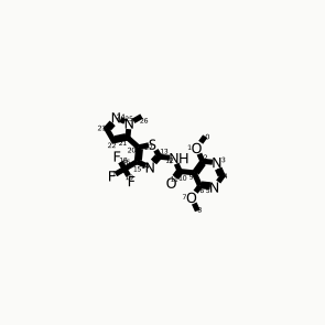 COc1ncnc(OC)c1C(=O)Nc1nc(C(F)(F)F)c(-c2ccnn2C)s1